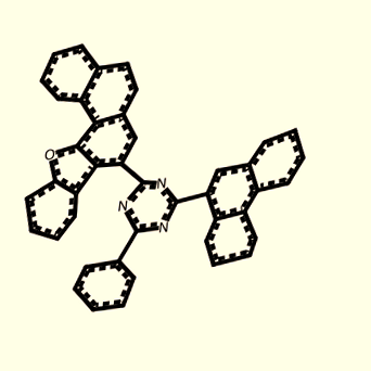 c1ccc(-c2nc(-c3cc4ccccc4c4ccccc34)nc(-c3cc4ccc5ccccc5c4c4oc5ccccc5c34)n2)cc1